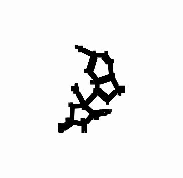 [2H]C1(c2c[nH]c3ccc(F)cc23)CC(=O)NC1=O